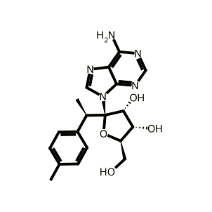 Cc1ccc([C@@H](C)[C@@]2(n3cnc4c(N)ncnc43)O[C@H](CO)[C@@H](O)[C@H]2O)cc1